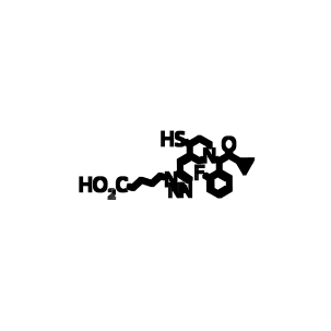 O=C(O)CCCCn1nncc1/C=C1\CN(C(C(=O)C2CC2)c2ccccc2F)CCC1S